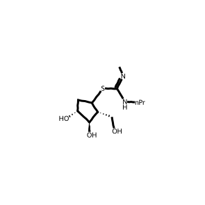 CCCN/C(=N/C)SC1C[C@@H](O)[C@H](O)[C@H]1CO